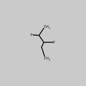 [CH2]CC(F)C(C)F